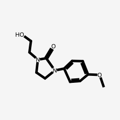 COc1ccc(N2CCN(CCO)C2=O)cc1